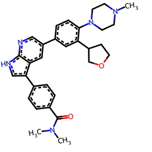 CN1CCN(c2ccc(-c3cnc4[nH]cc(-c5ccc(C(=O)N(C)C)cc5)c4c3)cc2C2CCOC2)CC1